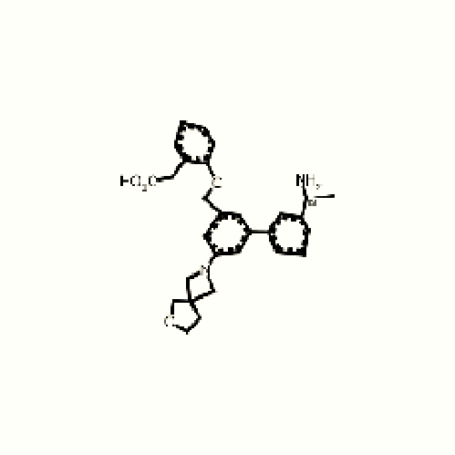 C[C@H](N)c1cccc(-c2cc(COc3ccccc3CC(=O)O)cc(N3CC4(CCOC4)C3)c2)c1